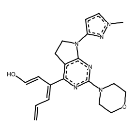 C=C/C=C(\C=C\O)c1nc(N2CCOCC2)nc2c1CCN2c1ccn(C)n1